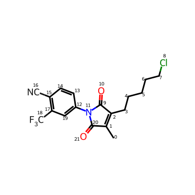 CC1=C(CCCCCCl)C(=O)N(c2ccc(C#N)c(C(F)(F)F)c2)C1=O